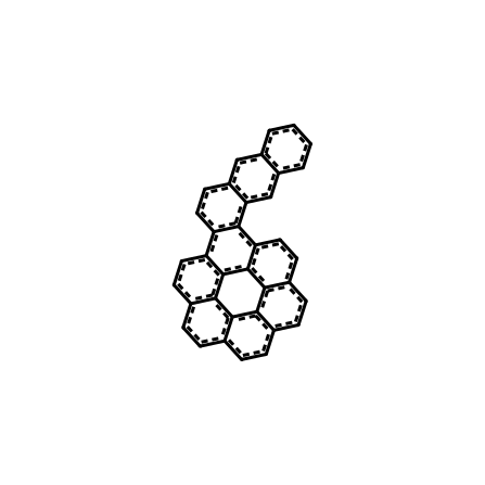 c1ccc2cc3c(ccc4c5ccc6ccc7ccc8ccc9ccc(c34)c3c9c8c7c6c53)cc2c1